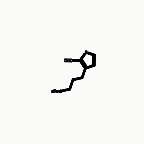 CCCCCCCCc1ccsc1C=O